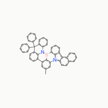 Cc1cc2c3c(c1)-n1c4ccc5ccccc5c4c4cccc(c41)B3N1c3ccccc3C(c3ccccc3)(c3ccccc3)c3cccc-2c31